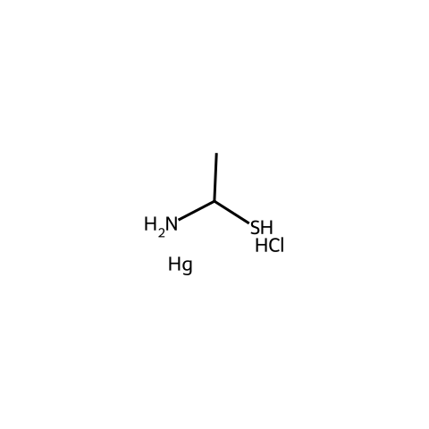 CC(N)S.Cl.[Hg]